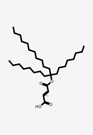 CCCCCCCCCCCC(CCCCCCCC)(CCCCCCCC)OC(=O)/C=C/C(=O)O